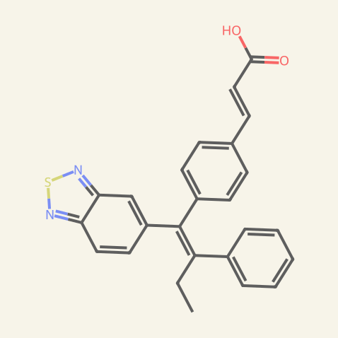 CC/C(=C(/c1ccc(/C=C/C(=O)O)cc1)c1ccc2nsnc2c1)c1ccccc1